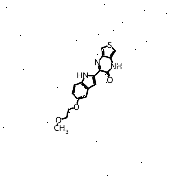 COCCOc1ccc2[nH]c(-c3nc4cscc4[nH]c3=O)cc2c1